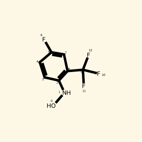 ONc1ccc(F)cc1C(F)(F)F